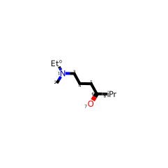 CCN(C)CCCC(=O)C(C)C